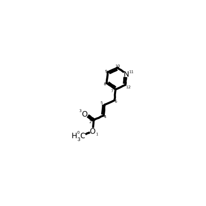 COC(=O)C=CCc1cccnc1